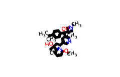 CCC(O)(CCc1cncc([C@@](O)(c2ccc(C(C)C)cc2)C2(C)CN(C)C2)c1)c1cccc(OC)n1